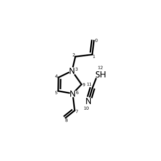 C=CCN1C=CN(C=C)C1.N#CS